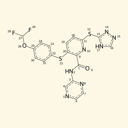 O=C(Nc1cnccn1)c1nc(Sc2nnc[nH]2)ccc1Sc1ccc(OC(F)F)cc1